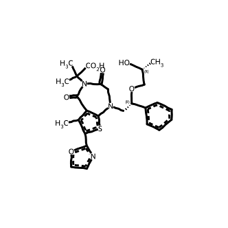 Cc1c(-c2ncco2)sc2c1C(=O)N(C(C)(C)C(=O)O)C(=O)CN2C[C@H](OC[C@@H](C)O)c1ccccc1